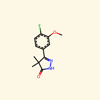 COc1cc(C2=NNC(=O)C2(C)C)ccc1F